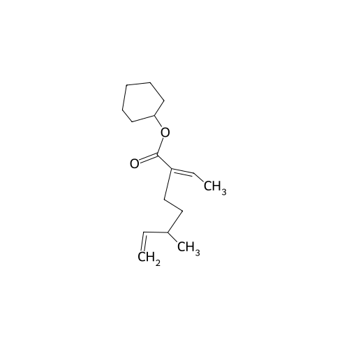 C=CC(C)CCC(=CC)C(=O)OC1CCCCC1